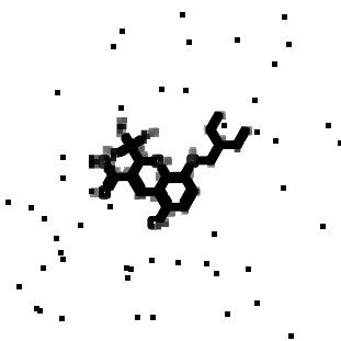 CCC(CC)COc1ccc(Cl)c2c1OC(C(F)(F)F)C(C(=O)O)=C2